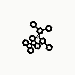 c1ccc(-c2ccc(N(c3cc(-c4ccccc4)cc(-c4ccccc4)c3)c3cccc4c3-c3ccccc3C43c4ccccc4-c4ccccc43)cc2)cc1